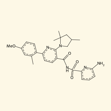 COc1ccc(-c2ccc(C(=O)NS(=O)(=O)c3cccc(N)n3)c(N3CC(C)CC3(C)C)n2)c(C)c1